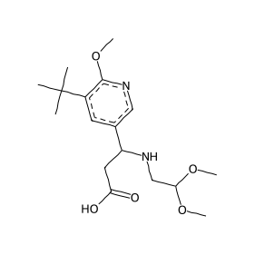 COc1ncc(C(CC(=O)O)NCC(OC)OC)cc1C(C)(C)C